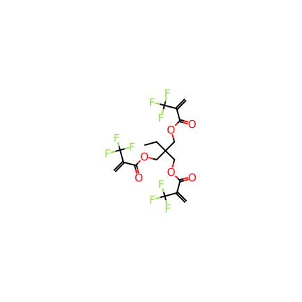 C=C(C(=O)OCC(CC)(COC(=O)C(=C)C(F)(F)F)COC(=O)C(=C)C(F)(F)F)C(F)(F)F